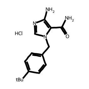 CC(C)(C)c1ccc(Cn2cnc(N)c2C(N)=O)cc1.Cl